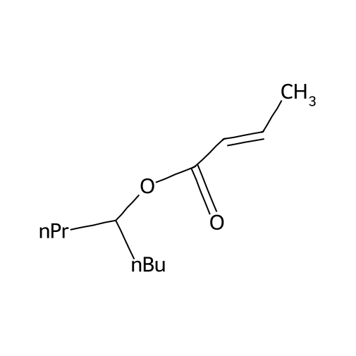 [CH2]CCC(CCCC)OC(=O)C=CC